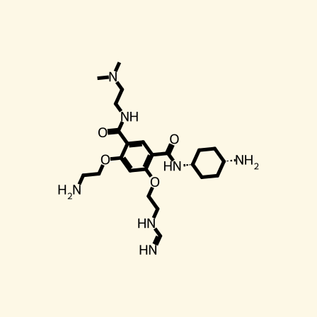 CN(C)CCNC(=O)c1cc(C(=O)N[C@H]2CC[C@@H](N)CC2)c(OCCNC=N)cc1OCCN